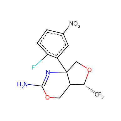 NC1=NC2(c3cc([N+](=O)[O-])ccc3F)CO[C@H](C(F)(F)F)C2CO1